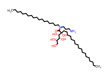 CCCCCCCCCCCCCCCCCCN(CCCN)C(=O)[C@@](O)(CCCCCCCCCCCCCCCCCC)[C@@H](O)[C@H](O)[C@H](O)CO